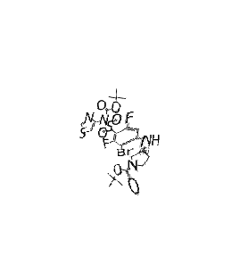 CC(C)(C)OC(=O)N1CC[C@H](Nc2cc(F)c(S(=O)(=O)N(C(=O)OC(C)(C)C)c3cscn3)c(F)c2Br)C1